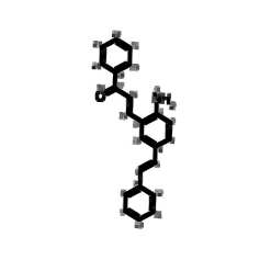 Nc1ccc(C=Cc2ccccc2)cc1C=CC(=O)c1ccccc1